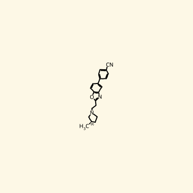 C[C@@H]1CCN(CCc2nc3cc(-c4ccc(C#N)cc4)ccc3o2)C1